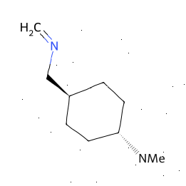 C=NC[C@H]1CC[C@H](NC)CC1